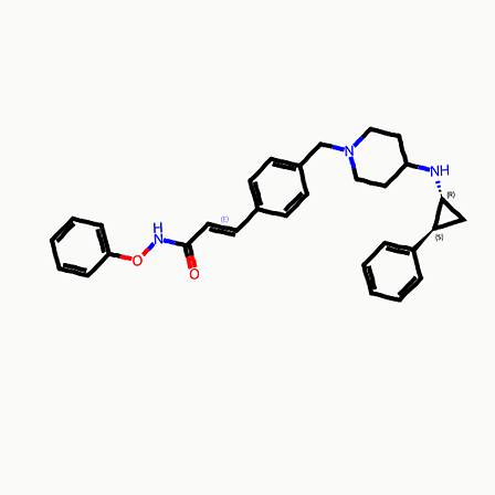 O=C(/C=C/c1ccc(CN2CCC(N[C@@H]3C[C@H]3c3ccccc3)CC2)cc1)NOc1ccccc1